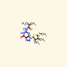 CC[C@H]1S[C@@H](n2cnc3c(=O)[nH]c(NC(=O)C(C)C)nc32)[C@H](C)[C@@H]1C